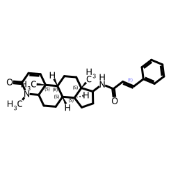 CN1C(=O)C=C[C@@]2(C)C1CC[C@@H]1[C@H]2CC[C@]2(C)C(NC(=O)/C=C/c3ccccc3)CC[C@@H]12